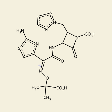 CC(C)(O/N=C(\C(=O)NC1C(=O)N(S(=O)(=O)O)C1Cn1nccn1)c1csc(N)n1)C(=O)O